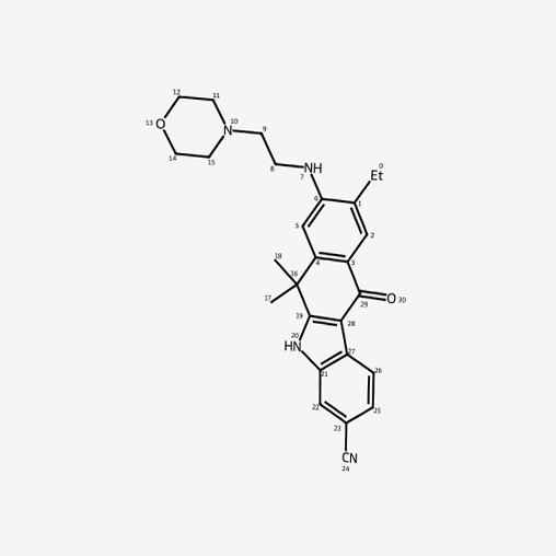 CCc1cc2c(cc1NCCN1CCOCC1)C(C)(C)c1[nH]c3cc(C#N)ccc3c1C2=O